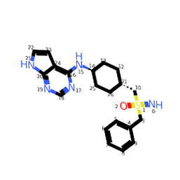 N=S(=O)(Cc1ccccc1)C[C@H]1CC[C@H](Nc2ncnc3[nH]ccc23)CC1